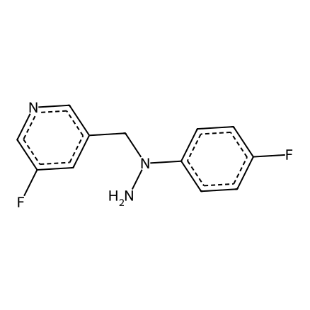 NN(Cc1cncc(F)c1)c1ccc(F)cc1